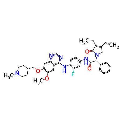 C=CC1=C(C=C)C(=O)N([C@@H](C(=O)Nc2ccc(Nc3ncnc4cc(OCC5CCN(C)CC5)c(OC)cc34)c(F)c2)c2ccccc2)C1